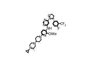 COc1nc(N2CCC(N3CCN(C4CC4)[C@@H](C)C3)CC2)ccc1Nc1cc(N2OCC[C@@H]2c2ccc(F)c(C(F)(F)F)c2)ncn1